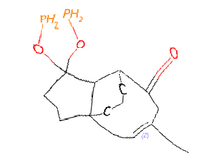 C/C1=C/CC23CCCC(C(=O)C1)C2C(OP)(OP)CC3